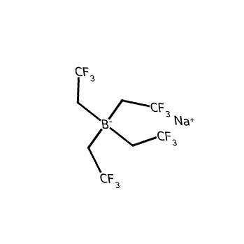 FC(F)(F)C[B-](CC(F)(F)F)(CC(F)(F)F)CC(F)(F)F.[Na+]